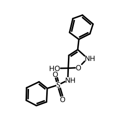 O=S(=O)(NC1(O)C=C(c2ccccc2)NO1)c1ccccc1